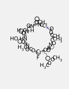 COc1ccc(CC[C@H]2OC(=O)[C@@H]3CCCCN3C(=O)CC(C)(C)COC(=O)/C=C/CCN(C)C(=O)[C@@H](Cc3ccccc3)NC(=O)CN(C)C(=O)[C@@H](Cc3ccccc3)NC(=O)[C@H](Cc3ccc(O)cc3)N(C)C(=O)COc3cc(F)cc2c3)cc1OC